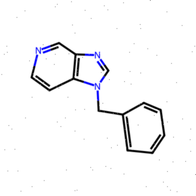 c1ccc(Cn2cnc3cnccc32)cc1